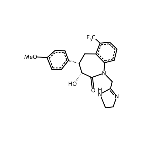 COc1ccc([C@@H]2Cc3c(cccc3C(F)(F)F)N(CC3=NCCN3)C(=O)[C@@H]2O)cc1